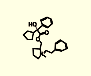 C[N+]1(CCc2ccccc2)CCCC1COC(=O)[C@](O)(c1ccccc1)C1CCCC1